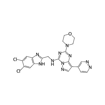 Clc1cc2nc(CNc3nc(N4CCOCC4)nc4c(-c5ccnnc5)cnn34)[nH]c2cc1Cl